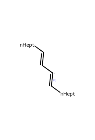 CCCCCCCC=C/[C]=C/CCCCCCC